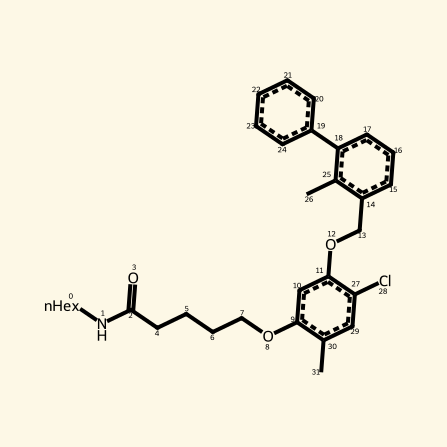 CCCCCCNC(=O)CCCCOc1cc(OCc2cccc(-c3ccccc3)c2C)c(Cl)cc1C